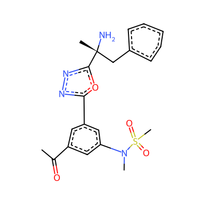 CC(=O)c1cc(-c2nnc([C@](C)(N)Cc3ccccc3)o2)cc(N(C)S(C)(=O)=O)c1